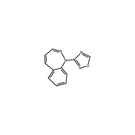 C1=Cc2ccccc2N(c2ncon2)N=C1